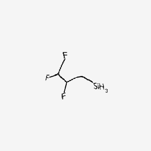 FC(F)C(F)C[SiH3]